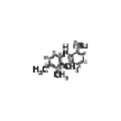 CCCCc1ccccc1Pc1ccc(C)c(C)c1C